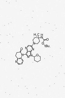 CC1(NC(=O)OC(C)(C)C)CCN(c2cnc3c(N4C(=O)CCc5ncccc54)nn(C4CCCCO4)c3n2)CC1